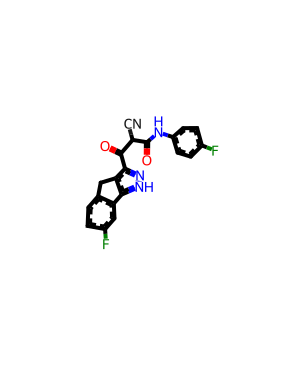 N#CC(C(=O)Nc1ccc(F)cc1)C(=O)c1n[nH]c2c1Cc1ccc(F)cc1-2